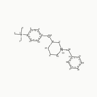 CC(C)(C)c1ccc(OC2CCCN(Cc3ccccc3)C2)cc1